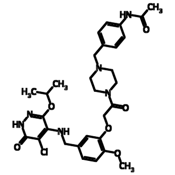 COc1ccc(CNc2c(OC(C)C)n[nH]c(=O)c2Cl)cc1OCC(=O)N1CCN(Cc2ccc(NC(C)=O)cc2)CC1